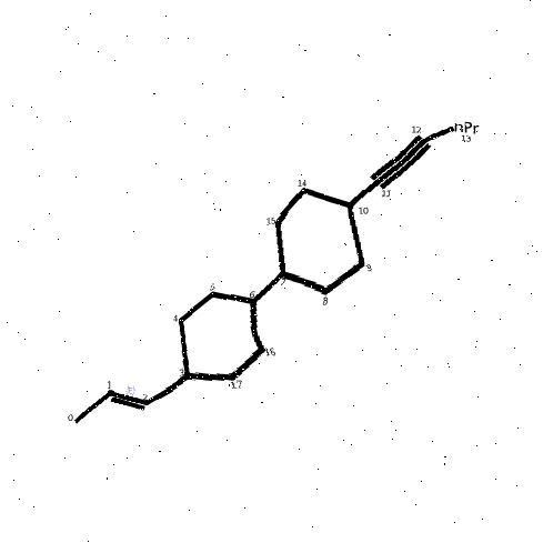 C/C=C/C1CCC(C2CCC(C#CCCC)CC2)CC1